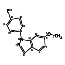 COc1ccc2cnn(-c3ccc(F)cc3)c2c1